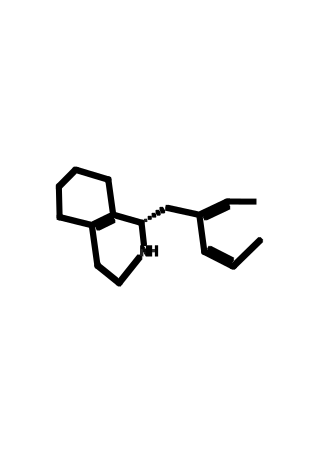 C/C=C\C(=C/C)C[C@@H]1NCCC2=C1CCCC2